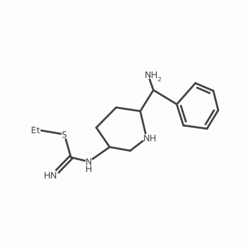 CCSC(=N)NC1CCC(C(N)c2ccccc2)NC1